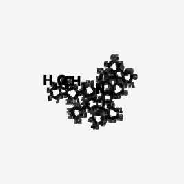 CS1(C)c2ccccc2-c2ccc(-c3ccc(N(c4cccc5c4-c4ccc(-c6ccccc6)cc4C5(c4ccccc4)c4ccccc4)c4cccc5c4-c4ccccc4C54c5ccccc5-c5ccccc54)cc3)cc21